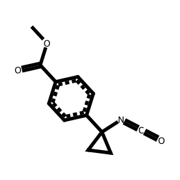 COC(=O)c1ccc(C2(N=C=O)CC2)cc1